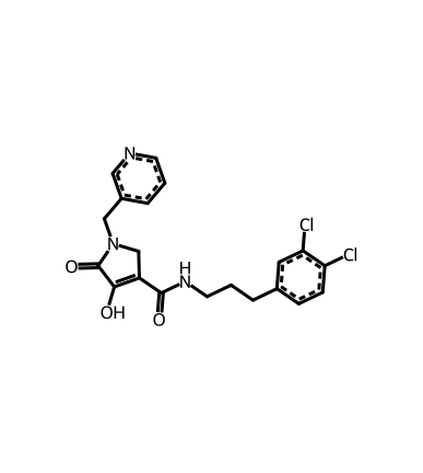 O=C(NCCCc1ccc(Cl)c(Cl)c1)C1=C(O)C(=O)N(Cc2cccnc2)C1